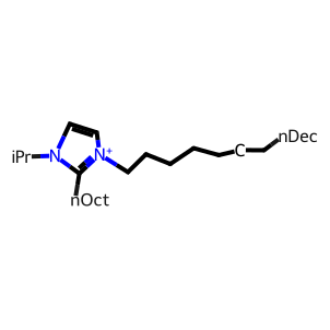 CCCCCCCCCCCCCCCCC[n+]1ccn(C(C)C)c1CCCCCCCC